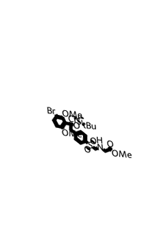 COC(=O)CNCS(=O)(=O)c1ccc(CC(C#N)(O[Si](C)(C)C(C)(C)C)c2c(OC)ccc(Br)c2OC)cc1